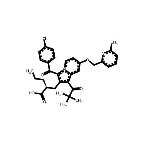 CCC[C@@H](Cc1c(C(=O)C(C)(C)C)c2cc(OCc3cccc(C)n3)ccn2c1C(=O)c1ccc(Cl)cc1)C(=O)O